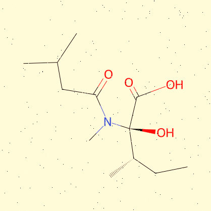 CC[C@H](C)[C@@](O)(C(=O)O)N(C)C(=O)CC(C)C